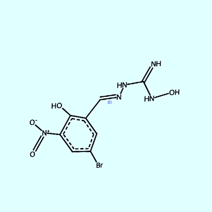 N=C(NO)N/N=C/c1cc(Br)cc([N+](=O)[O-])c1O